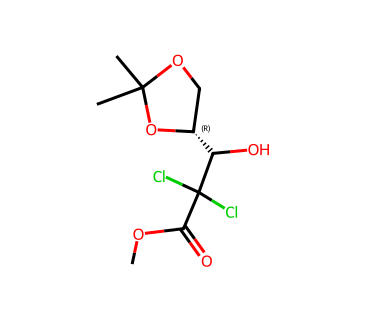 COC(=O)C(Cl)(Cl)C(O)[C@H]1COC(C)(C)O1